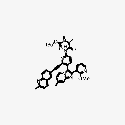 COc1ncccc1-c1nc2cc(C)ccn2c1-c1ccc(NC(=O)[C@H](C)N(C)C(=O)OC(C)(C)C)nc1C#Cc1ccc2nc(C)ccc2c1